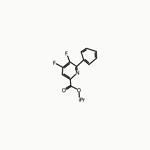 CC(C)OC(=O)c1cc(F)c(F)c(-c2ccccc2)n1